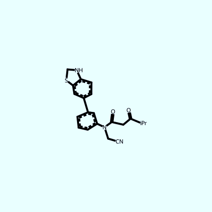 CC(C)C(=O)CC(=O)N(CC#N)c1cccc(-c2ccc3c(c2)SCN3)c1